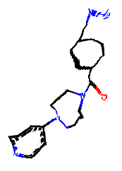 NCC1CCC(C(=O)N2CCN(c3ccncc3)CC2)CC1